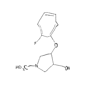 O=C(O)N1CC(O)C(Oc2ccccc2F)C1